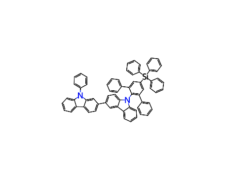 c1ccc(-c2cc([Si](c3ccccc3)(c3ccccc3)c3ccccc3)cc(-c3ccccc3)c2-n2c3ccccc3c3cc(-c4ccc5c6ccccc6n(-c6ccccc6)c5c4)ccc32)cc1